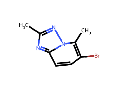 Cc1nc2ccc(Br)c(C)n2n1